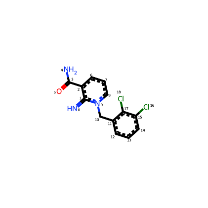 N=c1c(C(N)=O)cccn1Cc1cccc(Cl)c1Cl